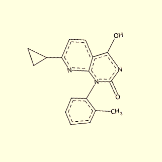 Cc1ccccc1-n1c(=O)nc(O)c2ccc(C3CC3)nc21